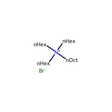 CCCCCCCC[N+](CCCCCC)(CCCCCC)CCCCCC.[Br-]